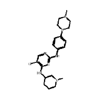 CN1CCN(c2ccc(Nc3ncc(Cl)c(NC4CCCN(C)C4)n3)cc2)CC1